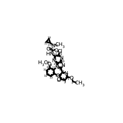 CCOc1cccc(-c2nc3nc(Cl)c(NS(=O)(=O)N(C)C4CC4)nc3n2-c2c(OC)cccc2OC)n1